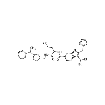 CCC(CC)n1c(Cc2cccs2)nc2cc(C(=O)NC(CCC(C)C)C(=O)NCC3CCN(C(C)c4ccccc4)C3)ccc21